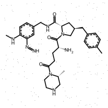 CNc1ccc(CNC(=O)[C@@H]2C[C@@H](Cc3ccc(C)cc3)CN2C(=O)[C@H](N)CCC(=O)N2CCNC[C@H]2C)cc1N=N